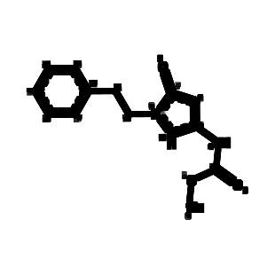 CC(C)(C)OC(=O)Nc1cc(=O)n(CCc2ccccc2)[nH]1